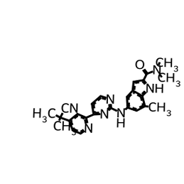 Cc1cc(Nc2nccc(-c3cc(C(C)(C)C#N)ccn3)n2)cc2cc(C(=O)N(C)C)[nH]c12